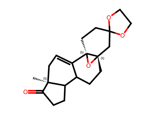 C[C@]12CC=C3C(CC[C@]45CC6(CC[C@]34O5)OCCO6)C1CCC2=O